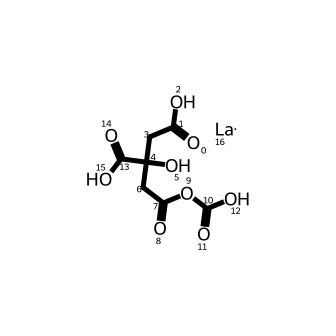 O=C(O)CC(O)(CC(=O)OC(=O)O)C(=O)O.[La]